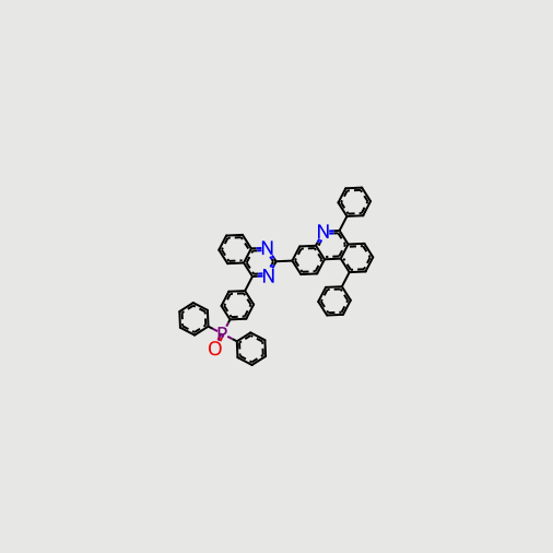 O=P(c1ccccc1)(c1ccccc1)c1ccc(-c2nc(-c3ccc4c(c3)nc(-c3ccccc3)c3cccc(-c5ccccc5)c34)nc3ccccc23)cc1